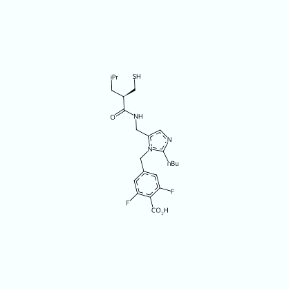 CCCCc1ncc(CNC(=O)[C@H](CS)CC(C)C)n1Cc1cc(F)c(C(=O)O)c(F)c1